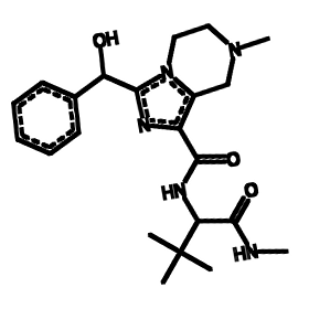 CNC(=O)C(NC(=O)c1nc(C(O)c2ccccc2)n2c1CN(C)CC2)C(C)(C)C